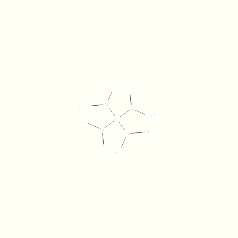 CC[N](CC)[Ti]([N](C)C)([N](C)C)[N](CC)CC